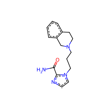 NC(=O)c1n[c]cn1CCCN1CCc2ccccc2C1